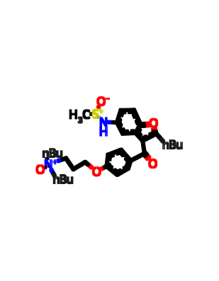 CCCCc1oc2ccc(N[S+](C)[O-])cc2c1C(=O)c1ccc(OCCC[N+]([O-])(CCCC)CCCC)cc1